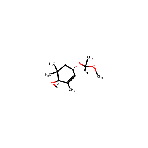 COC(C)(C)O[C@@H]1C=C(C)[C@]2(CO2)C(C)(C)C1